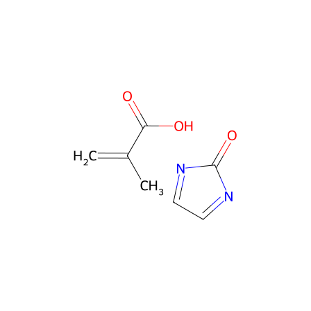 C=C(C)C(=O)O.O=C1N=CC=N1